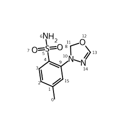 Cc1ccc(S(N)(=O)=O)c(N2COC=N2)c1